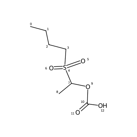 CCCCS(=O)(=O)C(C)OC(=O)O